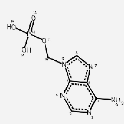 Nc1ncnc2c1ncn2COP(=O)(O)O